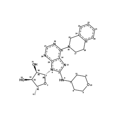 C[C@H]1O[C@@H](n2c(NC3CCOCC3)nc3c(N4CCc5ccccc5C4)ncnc32)[C@H](O)[C@@H]1O